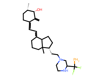 C=C1/C(=C\C=C2/CCCC3(C)C2CC[C@@H]3CCN2CCNC(C(F)(F)P)C2)CC[C@H](C)[C@@H]1O